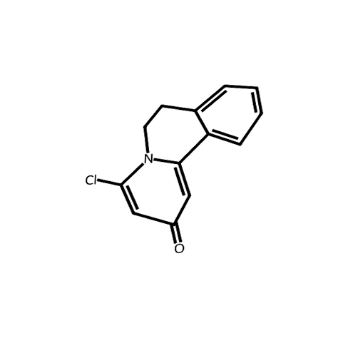 O=c1cc(Cl)n2c(c1)-c1ccccc1CC2